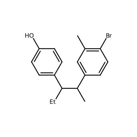 CCC(c1ccc(O)cc1)C(C)c1ccc(Br)c(C)c1